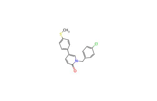 CSc1ccc(-c2ccc(=O)n(Cc3ccc(Cl)cc3)c2)cc1